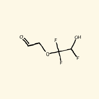 O=CCOC(F)(F)C(O)F